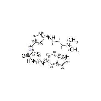 CN(C)CCCNc1ncc(/C=C2\SC(=Nc3ccc4[nH]ccc4c3)NC2=O)s1